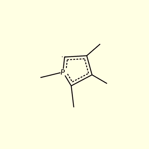 Cc1[c]p(C)c(C)c1C